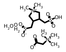 C[N+](C)(C)CC(=O)[O-].C[N+]1(C)CC(CS(=O)[O-])C(CS(=O)(=O)O)C1.O.O